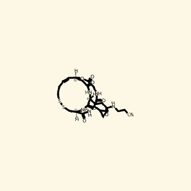 N#CCCNC(=O)CC[C@H]1NC(=O)C[C@H]2C=CCCSSC[C@@H](NC1=O)C(=O)NC(C1CC1)C(=O)NCC(=O)O2